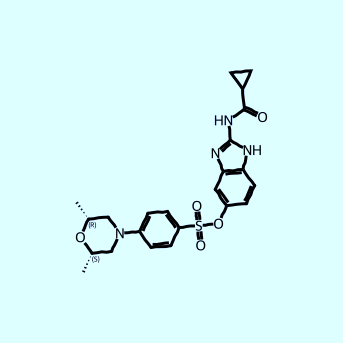 C[C@@H]1CN(c2ccc(S(=O)(=O)Oc3ccc4[nH]c(NC(=O)C5CC5)nc4c3)cc2)C[C@H](C)O1